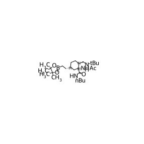 CCCCNC(=O)[C@@]1(NC(C)=O)C[C@H](CCB2OC(C)(C)C(C)(C)O2)CC[C@H]1CNC(C)(C)C